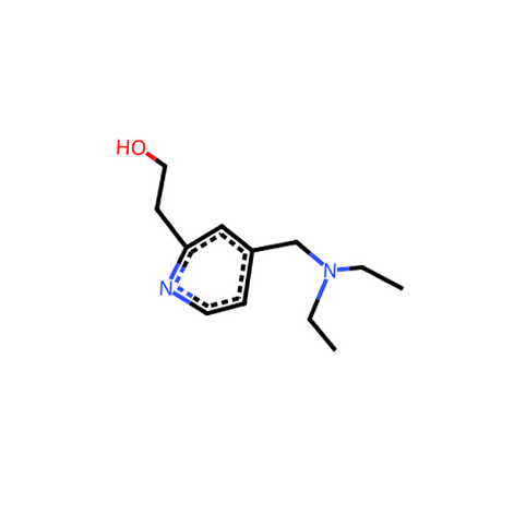 CCN(CC)Cc1ccnc(CCO)c1